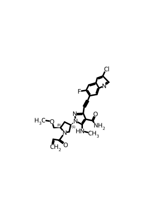 C=CC(=O)N1C[C@@H](n2nc(C#Cc3cc4ncc(Cl)cc4cc3F)c(C(N)=O)c2NC)C[C@@H]1COC